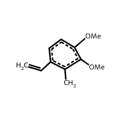 C=Cc1ccc(OC)c(OC)c1C